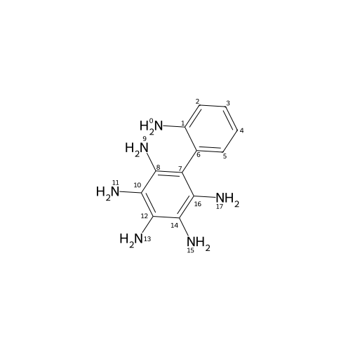 Nc1ccccc1-c1c(N)c(N)c(N)c(N)c1N